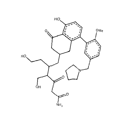 COc1ccc(CN2CCCC2)cc1-c1ccc(O)c2c1CC(CC(CCO)C(CO)C(=O)CC(N)=O)CC2=O